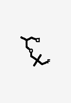 CC(CCl)COCC(C)(C)CF